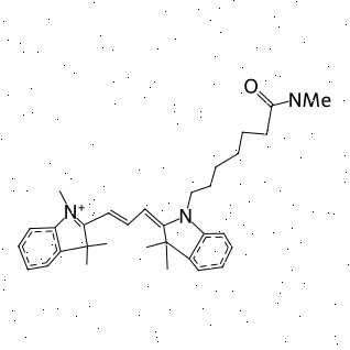 CNC(=O)CCCCCCN1/C(=C/C=C/C2=[N+](C)c3ccccc3C2(C)C)C(C)(C)c2ccccc21